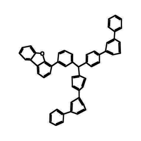 c1ccc(-c2cccc(-c3ccc(C(c4ccc(-c5cccc(-c6ccccc6)c5)cc4)c4cccc(-c5cccc6c5oc5ccccc56)c4)cc3)c2)cc1